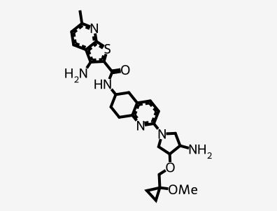 COC1(COC2CN(c3ccc4c(n3)CCC(NC(=O)c3sc5nc(C)ccc5c3N)C4)CC2N)CC1